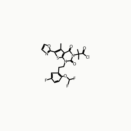 Cc1c(-c2ncco2)sc2c1c(=O)n(C(C)(C)C(=O)Cl)c(=O)n2CCc1cc(F)ccc1OC(F)F